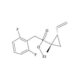 C=C[C@@H]1C[C@]1(C)P(=O)(Cc1c(F)cccc1F)OCC